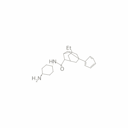 CCC12CC3CC(c4ccccc4)(CC(C1)C3C(=O)N[C@H]1CC[C@H](N)CC1)C2